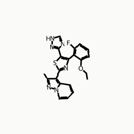 CCOc1cccc(F)c1-c1nc(-c2c(C)nn3ccccc23)sc1-c1nc[nH]n1